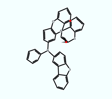 c1ccc(N(c2ccc3c(c2)[Si]2(c4ccccc4O3)c3ccccc3Sc3ccccc32)c2ccc3sc4ccccc4c3c2)cc1